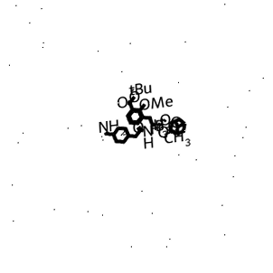 COc1c(CC(NC(=O)CC2CCC(CN)CC2)B2OC3CC4CC(C4(C)C)C3(C)O2)cccc1C(=O)OC(C)(C)C